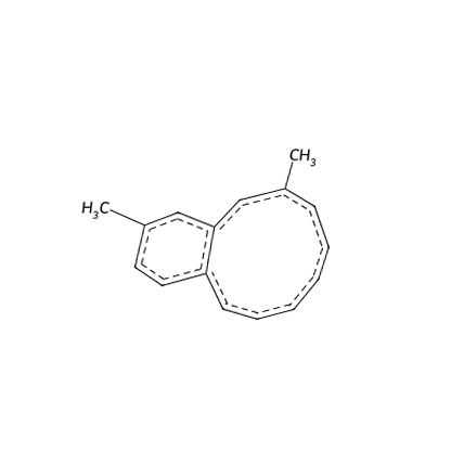 Cc1ccccccc2ccc(C)cc2c1